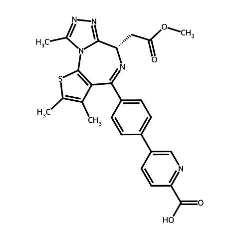 COC(=O)C[C@@H]1N=C(c2ccc(-c3ccc(C(=O)O)nc3)cc2)c2c(sc(C)c2C)-n2c(C)nnc21